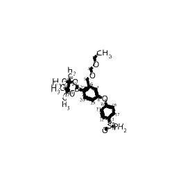 CCOCOCc1cc(Oc2ccc([S+]([O-])P)cc2)ccc1B1OC(C)(C)C(C)(C)O1